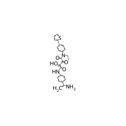 C=C(N)c1ccc(NC(=O)[C@H](O)[C@H]2OCCN(c3ccc(-c4cccs4)cc3)C2=O)cc1